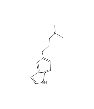 CN(C)CCCc1ccc2[nH]ccc2c1